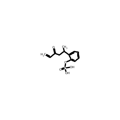 C=CC(=O)CC(C)c1ccccc1OP(=O)(O)O